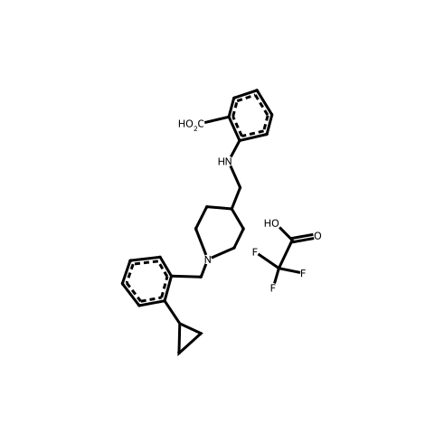 O=C(O)C(F)(F)F.O=C(O)c1ccccc1NCC1CCN(Cc2ccccc2C2CC2)CC1